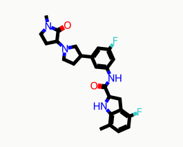 Cc1ccc(F)c2c1NC(C(=O)Nc1cc(F)cc(C3CCN(C4CCN(C)C4=O)C3)c1)C2